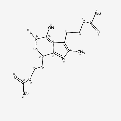 CC1=C(CCOC(=O)C(C)(C)C)C2=C(O)N(I)CN(CCOC(=O)C(C)(C)C)C2=N1